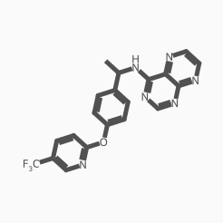 CC(Nc1ncnc2nccnc12)c1ccc(Oc2ccc(C(F)(F)F)cn2)cc1